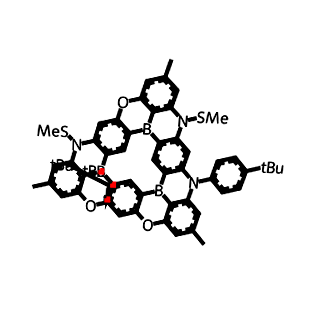 CSN1c2cc3c(cc2B2c4cc(C(C)(C)C)ccc4Oc4cc(C)cc1c42)B1c2cc4c(cc2N(SC)c2cc(C)cc(c21)O3)N(c1ccc(C(C)(C)C)cc1)c1cc(C)cc2c1B4c1cc(C(C)(C)C)ccc1O2